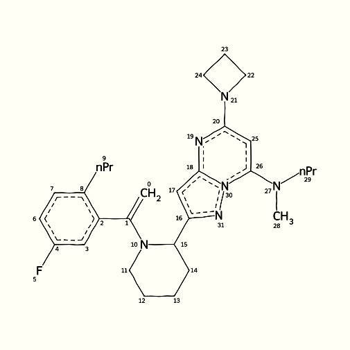 C=C(c1cc(F)ccc1CCC)N1CCCCC1c1cc2nc(N3CCC3)cc(N(C)CCC)n2n1